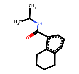 CC(C)NC(=O)c1cccc2c1CCCC2